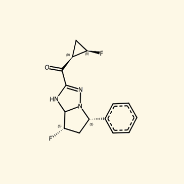 O=C(C1=NN2C(N1)[C@@H](F)C[C@H]2c1ccccc1)[C@H]1C[C@H]1F